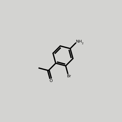 CC(=O)c1ccc(N)cc1Br